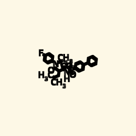 CC(C)CC(C(=O)NS(=O)(=O)c1ccc(-c2ccccc2)cc1)C(=O)N(c1ccc(F)cc1)C(C)C